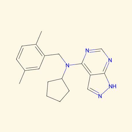 Cc1ccc(C)c(CN(c2ncnc3[nH]ncc23)C2CCCC2)c1